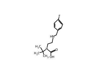 CC(C)(C)N(CCNCc1ccc(F)cc1)C(=O)O